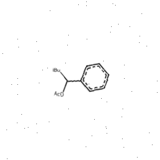 CCC(C)C(OC(C)=O)c1ccccc1